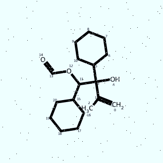 C=C(C)C(O)(C1CCCCC1)C(OC=O)C1CCCCC1